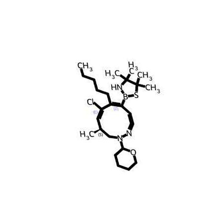 CCCCCC1=C(\B2NC(C)(C)C(C)(C)S2)C=C=NN(C2CCCCO2)C[C@@H](C)/C=C\1Cl